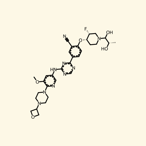 COc1cc(Nc2ncnc(-c3ccc(O[C@H]4CCN(C(O)[C@H](C)O)C[C@H]4F)c(C#N)c3)n2)cnc1N1CCN(C2COC2)CC1